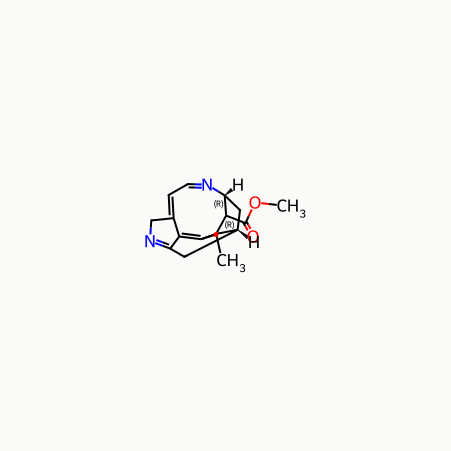 COC(=O)C1CC2=C3C4=CC=N[C@@H]1C[C@H](CC3=NC4)C2C